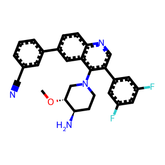 CO[C@@H]1CN(c2c(-c3cc(F)cc(F)c3)cnc3ccc(-c4cccc(C#N)c4)cc23)CC[C@H]1N